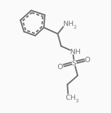 CCCS(=O)(=O)NCC(N)c1ccccc1